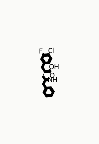 N=C(Cc1ccccc1)C[C@H](Cc1ccc(Cl)c(F)c1)C(=O)O